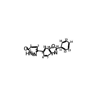 O=c1ccc(-c2ccc3nc(-c4ccccc4)oc3c2)n[nH]1